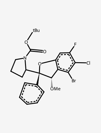 CO[C@H]1c2c(cc(F)c(Cl)c2Br)O[C@@]1(c1ccccc1)C1CCCN1C(=O)OC(C)(C)C